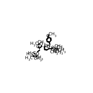 COc1ccc(CO[C@H](/C=C\C(O)[C@H]2OC(C)(C)O[C@H]2CCO[Si](C)(C)C(C)(C)C)[C@H](C)O[Si](C)(C)C(C)(C)C)cc1